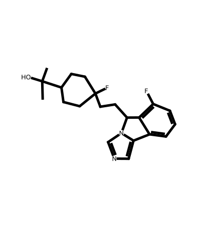 CC(C)(O)C1CCC(F)(CCC2c3c(F)cccc3-c3cncn32)CC1